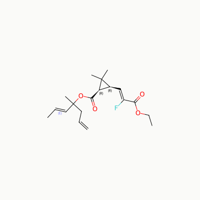 C=CCC(C)(/C=C/C)OC(=O)[C@@H]1[C@H](C=C(F)C(=O)OCC)C1(C)C